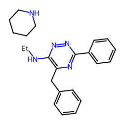 C1CCNCC1.CCNc1nnc(-c2ccccc2)nc1Cc1ccccc1